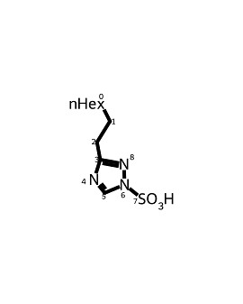 CCCCCCCCc1ncn(S(=O)(=O)O)n1